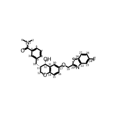 CN(C)C(=O)c1cccc(C[C@H]2COc3ccc(OCc4nc5cc(F)ccc5s4)cc3[C@H]2O)c1